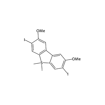 COc1cc2c(cc1I)S(C)(C)c1cc(I)c(OC)cc1-2